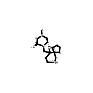 CN1CCN(CC2(O)CCNCC23CCCC3)C(=O)C1